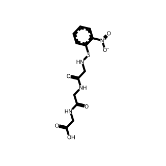 O=C(O)CNC(=O)CNC(=O)CNSc1ccccc1[N+](=O)[O-]